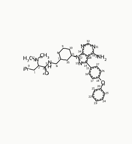 CC(C)CC(C(=O)NCC1CCC[C@@H](n2nc(-c3ccc(Oc4ccccc4)cc3)c3c(N)ncnc32)C1)N(C)C